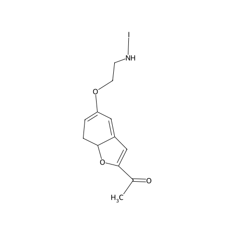 CC(=O)C1=CC2=CC(OCCNI)=CCC2O1